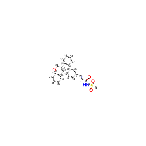 CS(=O)(=O)NC(=O)/C=C/c1ccc(C2=C(c3ccccc3)COc3ccccc32)cc1